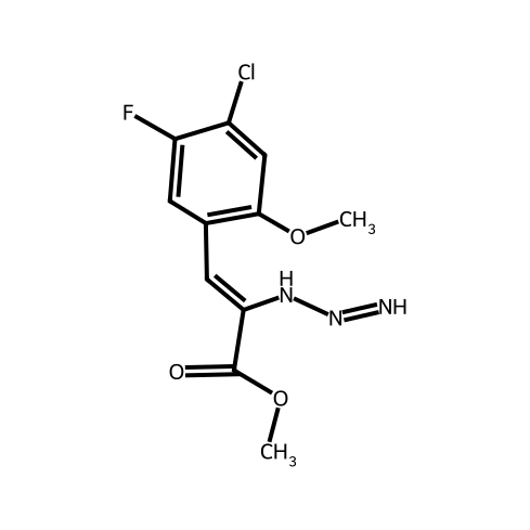 COC(=O)/C(=C/c1cc(F)c(Cl)cc1OC)NN=N